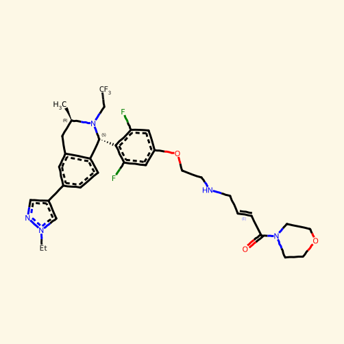 CCn1cc(-c2ccc3c(c2)C[C@@H](C)N(CC(F)(F)F)[C@@H]3c2c(F)cc(OCCNC/C=C/C(=O)N3CCOCC3)cc2F)cn1